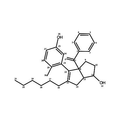 C=C(c1ccccc1)C12CCC(O)C1CC(CCCCCC)=C2c1cc(O)ccc1C